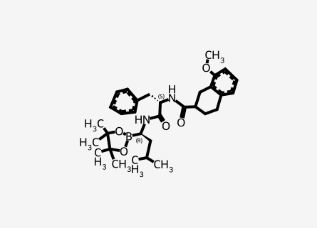 COc1cccc2c1CC(C(=O)N[C@@H](Cc1ccccc1)C(=O)N[C@@H](CC(C)C)B1OC(C)(C)C(C)(C)O1)CC2